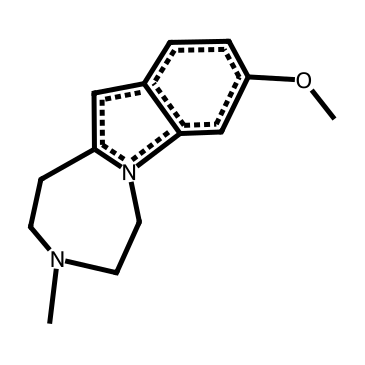 COc1ccc2cc3n(c2c1)CCN(C)CC3